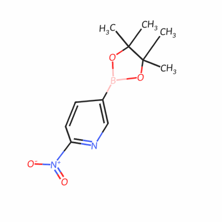 CC1(C)OB(c2ccc([N+](=O)[O-])nc2)OC1(C)C